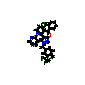 O=C(c1ccccc1Cl)c1cccnc1-c1nnn(Cc2ccc(F)c(C(F)(F)F)c2)c1-c1cncnc1